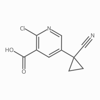 N#CC1(c2cnc(Cl)c(C(=O)O)c2)CC1